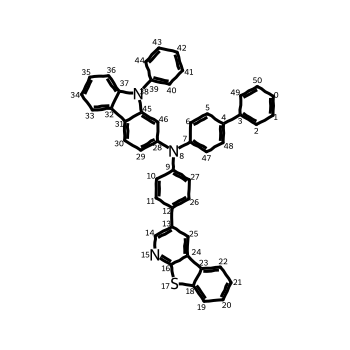 c1ccc(-c2ccc(N(c3ccc(-c4cnc5sc6ccccc6c5c4)cc3)c3ccc4c5ccccc5n(-c5ccccc5)c4c3)cc2)cc1